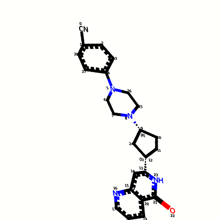 N#Cc1ccc(N2CCN([C@@H]3CC[C@H](c4cc5ncccc5c(=O)[nH]4)C3)CC2)cc1